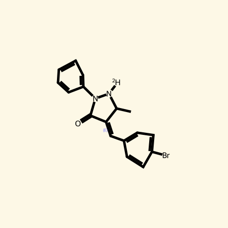 [2H]N1C(C)/C(=C\c2ccc(Br)cc2)C(=O)N1c1ccccc1